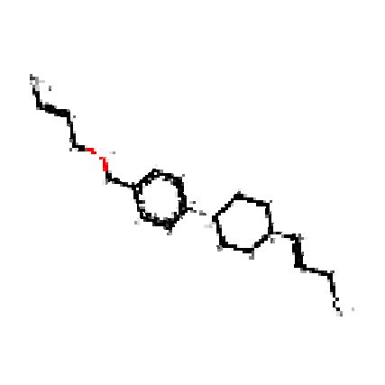 CC=CCOCc1ccc([C@H]2CC[C@H](C=CCC)CC2)cc1